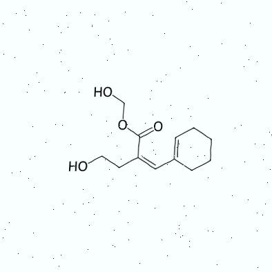 O=C(OCO)C(=CC1=CCCCC1)CCO